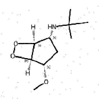 CO[C@H]1C[C@@H](NC(C)(C)C)[C@@H]2OO[C@@H]21